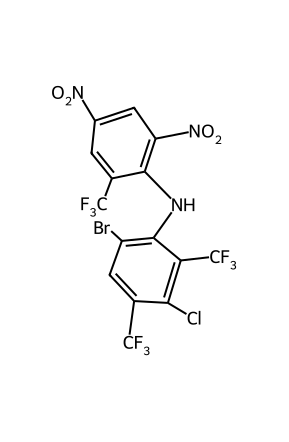 O=[N+]([O-])c1cc([N+](=O)[O-])c(Nc2c(Br)cc(C(F)(F)F)c(Cl)c2C(F)(F)F)c(C(F)(F)F)c1